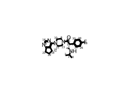 CC(C)NC[C@H](C(=O)N1CCN(c2ncnc3c2[C@H](C)CC3)CC1)c1ccc(F)cc1